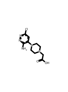 Nc1nnc(Cl)cc1N1CCN(CC(=O)O)CC1